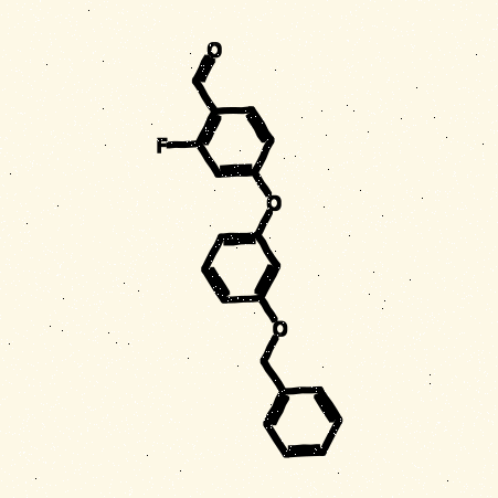 O=Cc1ccc(Oc2cccc(OCc3ccccc3)c2)cc1F